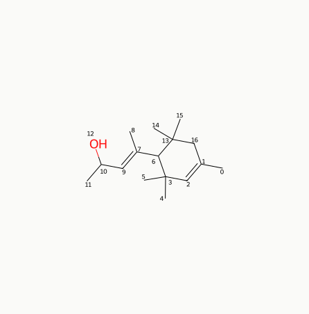 CC1=CC(C)(C)C(C(C)=CC(C)O)C(C)(C)C1